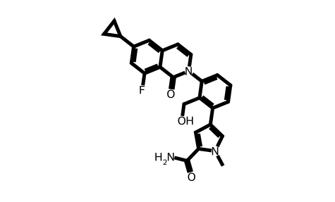 Cn1cc(-c2cccc(-n3ccc4cc(C5CC5)cc(F)c4c3=O)c2CO)cc1C(N)=O